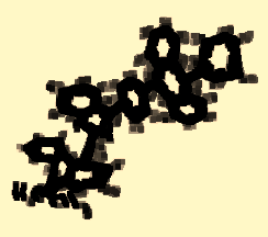 CC1(C)c2ccccc2-c2c(-c3nc(-c4ccc(-c5c6ccccc6c(-c6ccccc6)c6ccccc56)cc4)c4ccccc4n3)cccc21